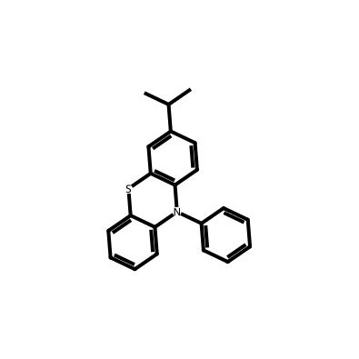 CC(C)c1ccc2c(c1)Sc1ccccc1N2c1ccccc1